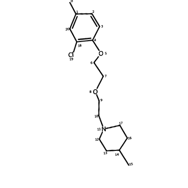 Cc1ccc(OCCOCCN2CCC(C)CC2)c(Cl)c1